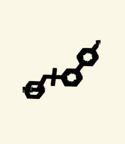 CC(C)(CC1CN2CCC1CC2)c1cccc(-c2ccc(F)cc2)c1